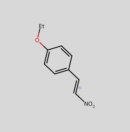 CCOc1ccc(/C=C/[N+](=O)[O-])cc1